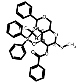 CS[C@@H]1OC2COC(c3ccccc3)O[C@@H]2[C@H](O[Si](c2ccccc2)(c2ccccc2)C(C)(C)C)C1OC(=O)c1ccccc1